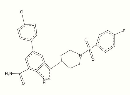 NC(=O)c1cc(-c2ccc(Cl)cc2)cc2c(C3CCN(S(=O)(=O)c4ccc(F)cc4)CC3)c[nH]c12